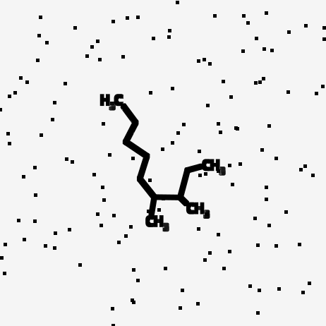 CCCCCC(C)C(C)CC